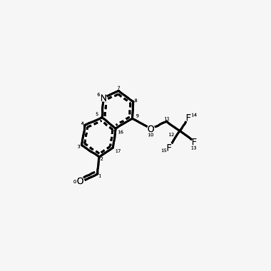 O=Cc1ccc2nccc(OCC(F)(F)F)c2c1